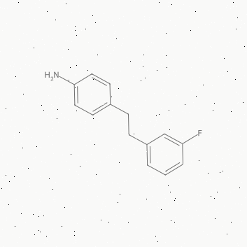 Nc1ccc(CCc2cccc(F)c2)cc1